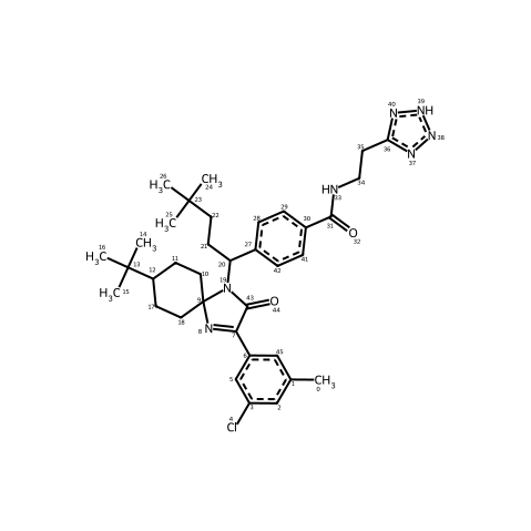 Cc1cc(Cl)cc(C2=NC3(CCC(C(C)(C)C)CC3)N(C(CCC(C)(C)C)c3ccc(C(=O)NCCc4nn[nH]n4)cc3)C2=O)c1